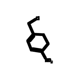 O=[N+]([O-])C1=CC=C(CCl)CC1